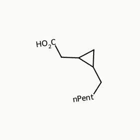 CCCCCCC1CC1CC(=O)O